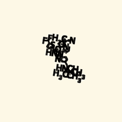 C=C(C#N)C(=O)N1CCC[C@@H]1Cn1c(NC(=O)c2ccc(C(F)F)s2)nc2cc(CN[C@@H](C)C(C)(C)C)ccc21